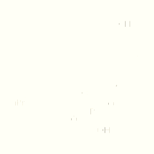 Cc1ccc(OP(=O)(O)OCCC(C)C)cc1